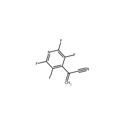 C=C(C#N)c1c(F)c(F)nc(F)c1F